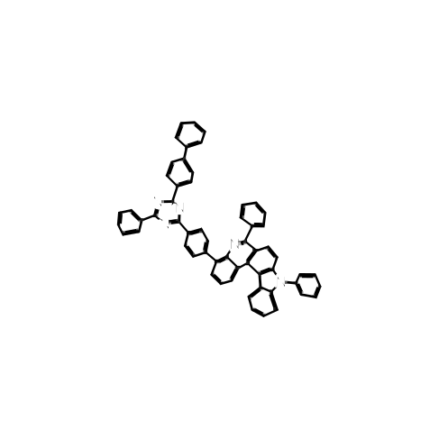 c1ccc(-c2ccc(-c3nc(-c4ccccc4)nc(-c4ccc(-c5cccc6c5nc(-c5ccccc5)c5ccc7c(c8ccccc8n7-c7ccccc7)c56)cc4)n3)cc2)cc1